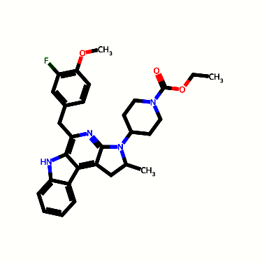 CCOC(=O)N1CCC(N2c3nc(Cc4ccc(OC)c(F)c4)c4[nH]c5ccccc5c4c3CC2C)CC1